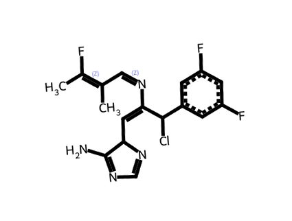 C/C(F)=C(C)/C=N\C(=CC1N=CN=C1N)C(Cl)c1cc(F)cc(F)c1